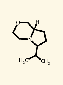 CC(C)C1CC[C@H]2COCCN12